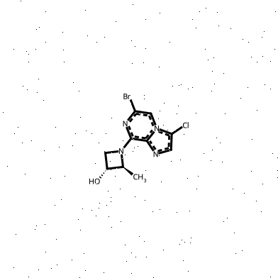 C[C@H]1[C@H](O)CN1c1nc(Br)cn2c(Cl)cnc12